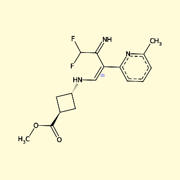 COC(=O)[C@H]1C[C@H](N/C=C(\C(=N)C(F)F)c2cccc(C)n2)C1